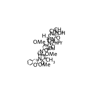 CC[C@H](C)[C@@H]([C@@H](CC(=O)N1CCC[C@H]1[C@H](OC)[C@@H](C)C(=O)N[C@@H](Cc1ccccc1)C(=O)OC)OC)N(C)C(=O)[C@@H](NC(=O)[C@H]([C@@H](C)O)N(C)C)C(C)C